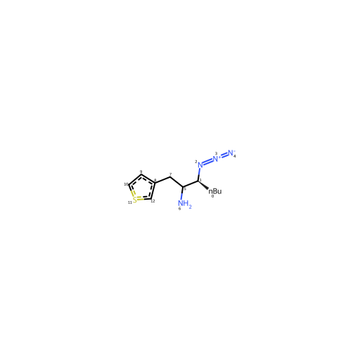 CCCC[C@H](N=[N+]=[N-])C(N)Cc1ccsc1